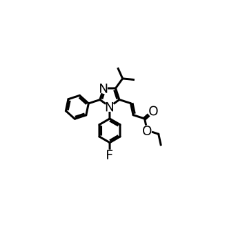 CCOC(=O)C=Cc1c(C(C)C)nc(-c2ccccc2)n1-c1ccc(F)cc1